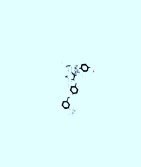 CC(C)CN(C[C@H](O)[C@H](Cc1ccc(OCc2cccc([N+](=O)[O-])c2)cc1)NC(=O)O)S(=O)(=O)c1ccc2c(c1)OCO2